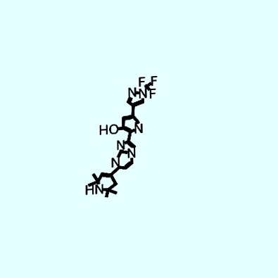 CC1(C)C=C(c2ccn3cc(-c4ncc(-c5cnn(C(F)(F)F)c5)cc4O)nc3n2)CC(C)(C)N1